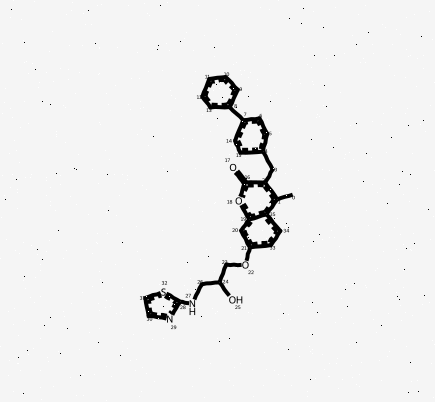 Cc1c(Cc2ccc(-c3ccccc3)cc2)c(=O)oc2cc(OCC(O)CNc3nccs3)ccc12